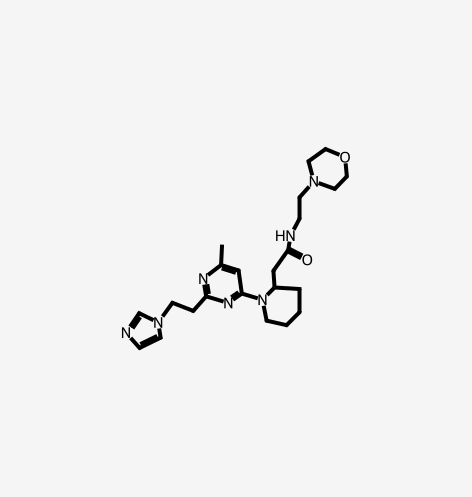 Cc1cc(N2CCCCC2CC(=O)NCCN2CCOCC2)nc(CCn2ccnc2)n1